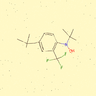 CC(C)(C)c1ccc(N(O)C(C)(C)C)c(C(F)(F)F)c1